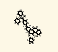 c1ccc(-n2c(-c3ccc(-c4ccc(-c5nc6ccccc6nc5-c5cccc6ccccc56)cc4)cc3)nc3ccccc32)cc1